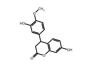 COc1ccc(C2CC(=O)Oc3cc(O)ccc32)cc1O